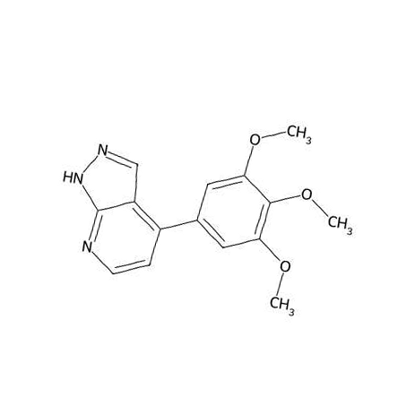 COc1cc(-c2ccnc3[nH]ncc23)cc(OC)c1OC